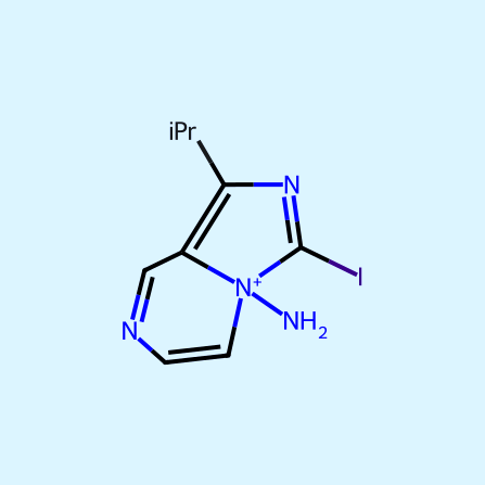 CC(C)C1=C2C=NC=C[N+]2(N)C(I)=N1